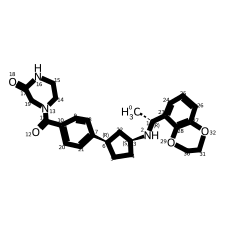 C[C@@H](N[C@H]1CC[C@@H](c2ccc(C(=O)N3CCNC(=O)C3)cc2)C1)c1cccc2c1OCCO2